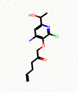 C=CCCC(=O)COc1c(I)cc(C(C)O)nc1Cl